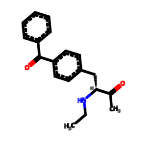 CCN[C@H](Cc1ccc(C(=O)c2ccccc2)cc1)C(C)=O